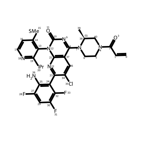 C=CC(=O)N1CCN(c2nc(=O)n(-c3c(SC)ccnc3C(C)C)c3nc(-c4c(N)c(F)cc(F)c4F)c(Cl)cc23)[C@@H](C)C1